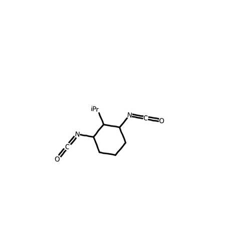 CC(C)C1C(N=C=O)CCCC1N=C=O